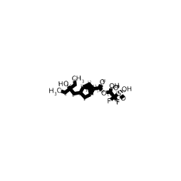 CCC(O)(CC)CC1CC2CC1CC2C(=O)OC(O)C(F)(F)S(=O)(=O)O